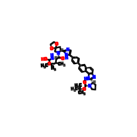 COC(O)N[C@H](C(=O)N1CC2(C[C@H]1c1ncc(-c3ccc(-c4ccc5c(ccc6nc([C@@H]7CCCN7C(=O)OC(C)(C)C)[nH]c65)c4)cc3)[nH]1)OCCO2)C(C)C